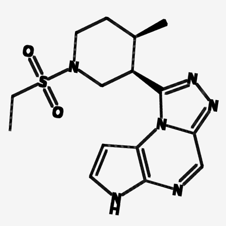 CCS(=O)(=O)N1CC[C@@H](C)[C@@H](c2nnc3cnc4[nH]ccc4n23)C1